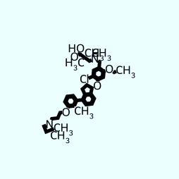 CCOc1cc(O[C@H]2CCc3c(-c4cccc(OCCCN5CCC5(C)C)c4C)cccc32)c(Cl)cc1CN(C)CC(C)(C)C(=O)O